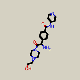 NC(C(=O)N1CCN(CCO)CC1)c1ccc(C(=O)Nc2ccncc2)cc1